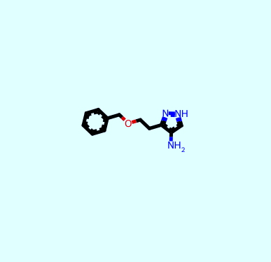 Nc1c[nH]nc1CCOCc1ccccc1